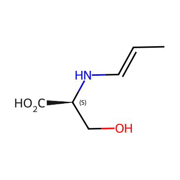 CC=CN[C@@H](CO)C(=O)O